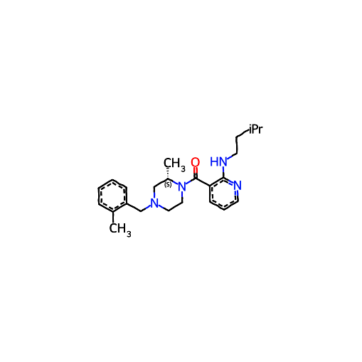 Cc1ccccc1CN1CCN(C(=O)c2cccnc2NCCC(C)C)[C@@H](C)C1